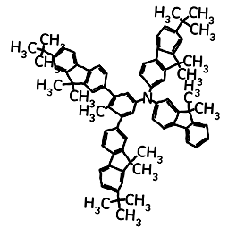 Cc1c(-c2ccc3c(c2)C(C)(C)c2cc(C(C)(C)C)ccc2-3)cc(N(c2ccc3c(c2)C(C)(C)c2ccccc2-3)c2ccc3c(c2)C(C)(C)c2cc(C(C)(C)C)ccc2-3)cc1-c1ccc2c(c1)C(C)(C)c1cc(C(C)(C)C)ccc1-2